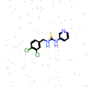 S=C(NCc1ccc(Cl)c(Cl)c1)Nc1cccnc1